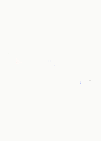 CN(C)Cc1cccc(-c2nc(-c3ccc(OC(F)F)cc3)nn2C)c1.Cl